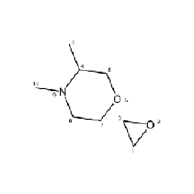 C1CO1.CC1COCCN1C